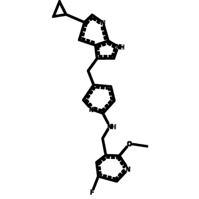 COc1ncc(F)cc1CNc1ccc(Cc2c[nH]c3ncc(C4CC4)cc23)cn1